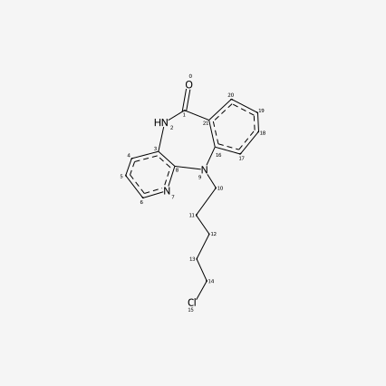 O=C1Nc2cccnc2N(CCCCCCl)c2ccccc21